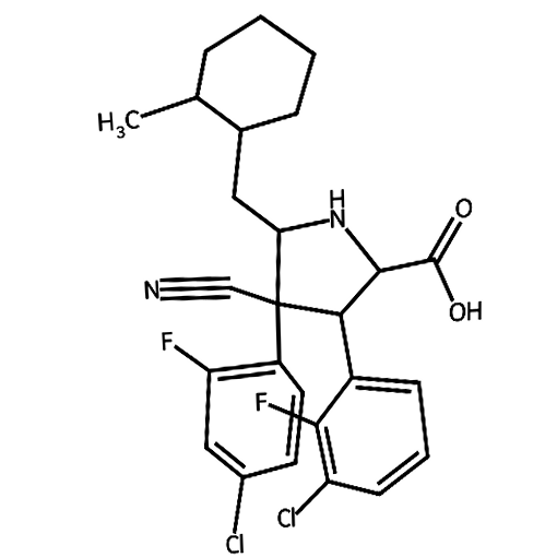 CC1CCCCC1CC1NC(C(=O)O)C(c2cccc(Cl)c2F)C1(C#N)c1ccc(Cl)cc1F